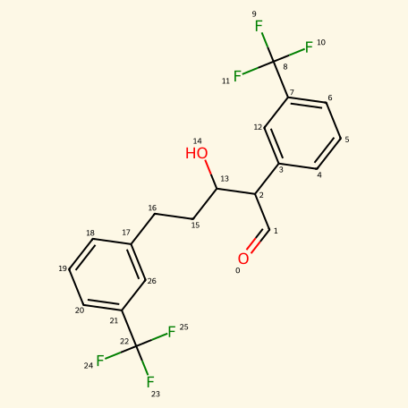 O=CC(c1cccc(C(F)(F)F)c1)C(O)CCc1cccc(C(F)(F)F)c1